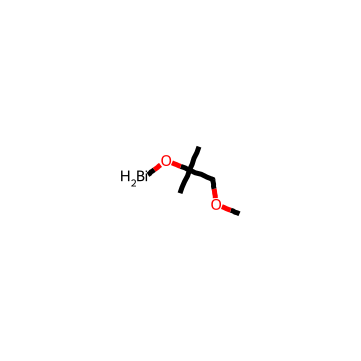 COCC(C)(C)[O][BiH2]